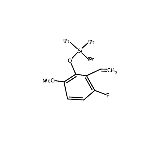 C=Cc1c(F)ccc(OC)c1O[Si](C(C)C)(C(C)C)C(C)C